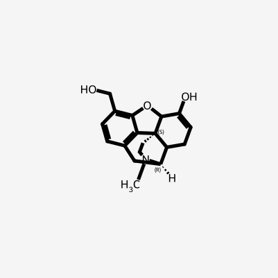 CN1CC[C@]23c4c5ccc(CO)c4OC2C(O)=CCC3[C@H]1C5